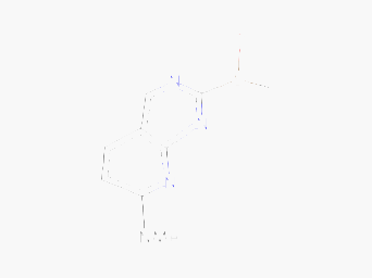 CNc1ccc2cnc([S+](C)[O-])nc2n1